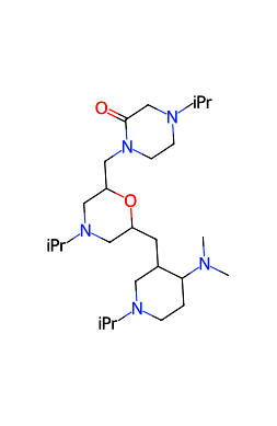 CC(C)N1CCN(CC2CN(C(C)C)CC(CC3CN(C(C)C)CCC3N(C)C)O2)C(=O)C1